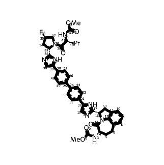 COC(=O)N[C@H]1CCc2cccc3c2N(C1=O)[C@H](c1ncc(-c2ccc(-c4ccc(-c5cnc([C@@H]6C[C@@H](F)CN6C(=O)[C@@H](NC(=O)OC)C(C)C)[nH]5)cc4)cc2)[nH]1)C3